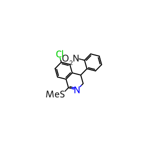 CSC1=NCC(c2ccccc2[N+](=O)[O-])c2cc(Cl)ccc21